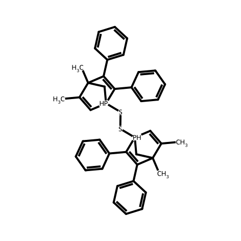 CC1=C[PH]2(SS[PH]34C=C(C)C(C)(C3)C(c3ccccc3)=C4c3ccccc3)CC1(C)C(c1ccccc1)=C2c1ccccc1